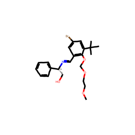 COCCOCOc1c(C=N[C@H](CO)c2ccccc2)cc(Br)cc1C(C)(C)C